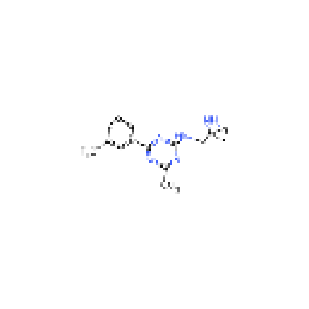 NC1(CNc2nc(-c3cccc(C(F)(F)F)c3)nc(C(Cl)(Cl)Cl)n2)CC1